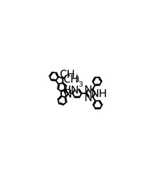 CC1(C)c2ccccc2-c2cc3c4ccccc4n(C4C=CC(C5=NC(c6ccccc6)NC(c6ccccc6)=N5)=CN4)c3cc21